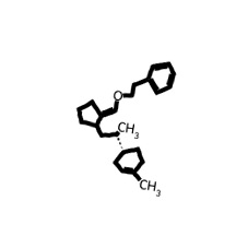 CC1=CC[C@H](C(C)CC2CCCC2=COCCc2ccccc2)CC1